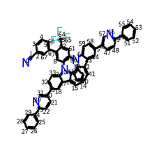 N#Cc1cccc(-c2cc(-n3c4ccccc4c4cc(-c5ccc(-c6ccccc6)nc5)ccc43)c(-n3c4ccccc4c4cc(-c5ccc(-c6ccccc6)nc5)ccc43)cc2C(F)(F)F)c1